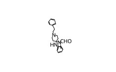 O=CNC1(Nc2ccccc2)CCN(CCc2ccccc2)CC1